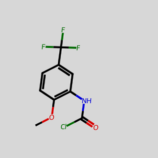 COc1ccc(C(F)(F)F)cc1NC(=O)Cl